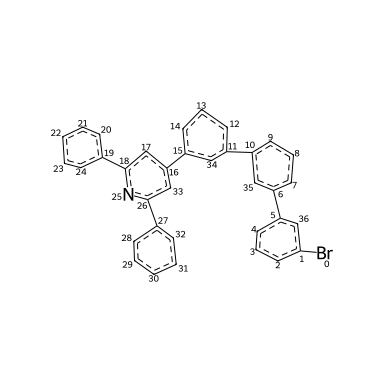 Brc1cccc(-c2cccc(-c3cccc(-c4cc(-c5ccccc5)nc(-c5ccccc5)c4)c3)c2)c1